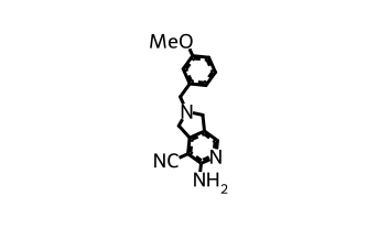 COc1cccc(CN2Cc3cnc(N)c(C#N)c3C2)c1